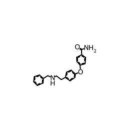 NC(=O)c1ccc(Oc2ccc(CCNCc3ccccc3)cc2)cc1